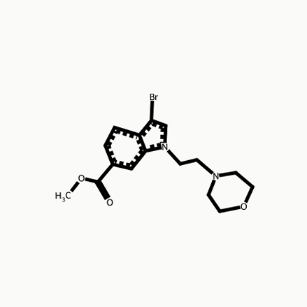 COC(=O)c1ccc2c(Br)cn(CCN3CCOCC3)c2c1